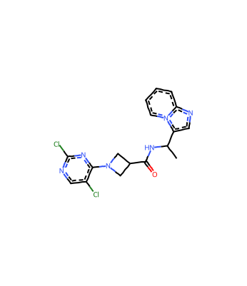 CC(NC(=O)C1CN(c2nc(Cl)ncc2Cl)C1)c1cnc2ccccn12